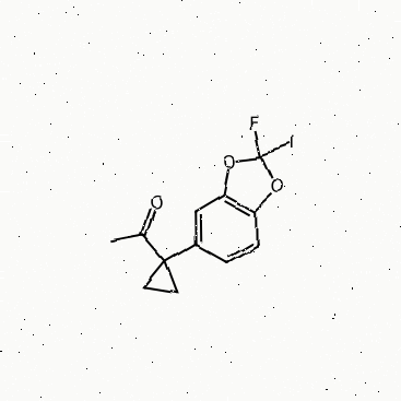 CC(=O)C1(c2ccc3c(c2)OC(F)(I)O3)CC1